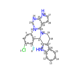 Fc1c(Cl)cccc1C1c2[nH]c3ccccc3c2CCN1c1ncnc2[nH]ccc12